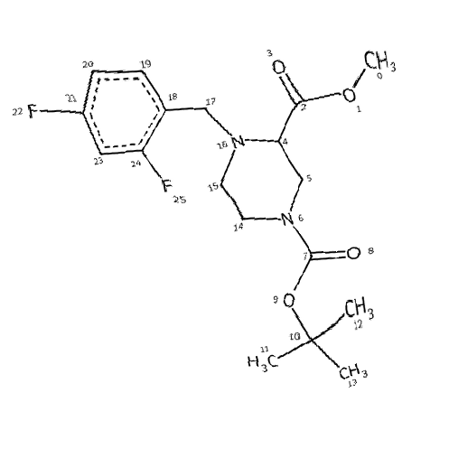 COC(=O)C1CN(C(=O)OC(C)(C)C)CCN1Cc1ccc(F)cc1F